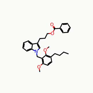 CCCCc1ccc(OC)c(Cn2cc(CCCOC(=O)c3ccccc3)c3ccccc32)c1OC